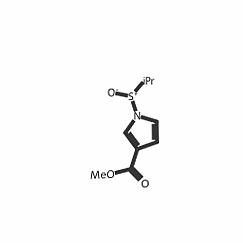 COC(=O)c1ccn([S+]([O-])C(C)C)c1